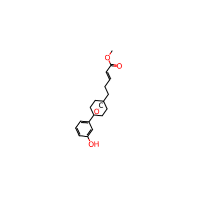 COC(=O)C=CCCC12CCC(c3cccc(O)c3)(CC1)OC2